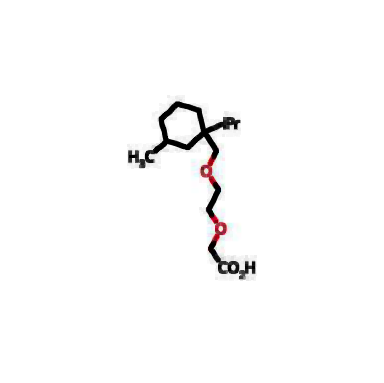 CC1CCCC(COCCOCC(=O)O)(C(C)C)C1